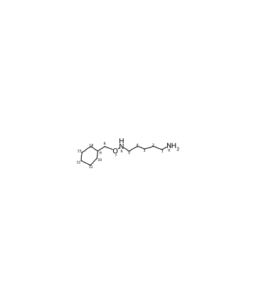 NCCCCCNOCC1CCCCC1